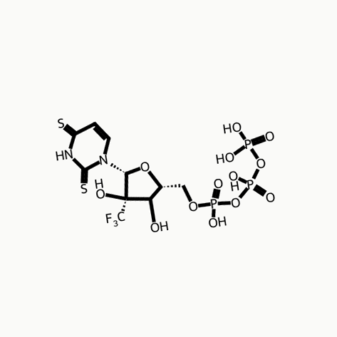 O=P(O)(O)OP(=O)(O)OP(=O)(O)OC[C@H]1O[C@@H](n2ccc(=S)[nH]c2=S)[C@@](O)(C(F)(F)F)C1O